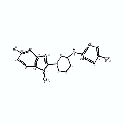 Cn1c(N2CCCC(Nc3ncc(C(F)(F)F)cn3)C2)nc2cc(Br)ccc21